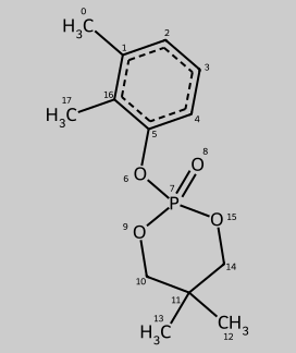 Cc1cccc(OP2(=O)OCC(C)(C)CO2)c1C